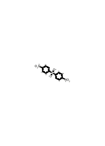 O=[N+]([O-])c1ccc(S(=O)(=O)c2ccc([N+](=O)[O-])cc2)cc1